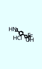 Cl.OC1(C(F)(F)F)CC(c2ccc(C3CNC3)cc2)C1